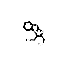 CCc1nc2sc3ccccc3n2c1CO